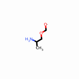 CC(N)COC[O]